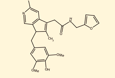 COc1cc(CC2C(C)=C(CC(=O)NCc3ccco3)c3cc(F)ncc32)cc(OC)c1O